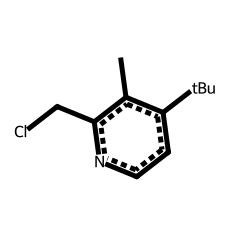 Cc1c(C(C)(C)C)ccnc1CCl